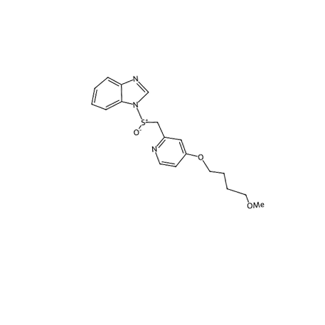 COCCCCOc1ccnc(C[S+]([O-])n2cnc3ccccc32)c1